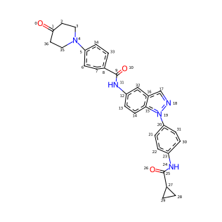 O=C1CCN(c2ccc(C(=O)Nc3ccc4c(cnn4-c4ccc(NC(=O)C5CC5)cc4)c3)cc2)CC1